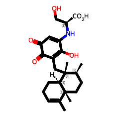 CC1=CCC[C@H]2[C@](C)(CC3=C(O)C(N[C@@H](CO)C(=O)O)=CC(=O)C3=O)[C@@H](C)CC[C@]12C